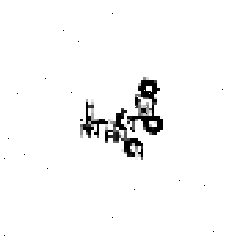 Fc1ccccc1Cn1nc(-c2ncc(OCc3nnn[nH]3)c(Nc3ccncc3)n2)c2ccccc21